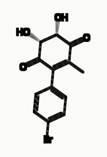 CC1=C(c2ccc(Br)cc2)C(=O)[C@H](O)[C@H](O)C1=O